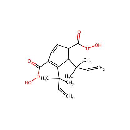 C=CC(C)(C)c1c(C(=O)OO)ccc(C(=O)OO)c1C(C)(C)C=C